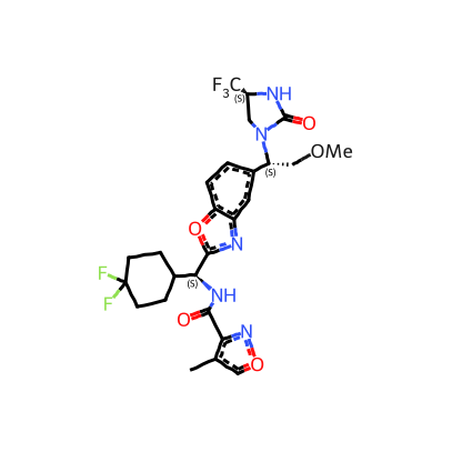 COC[C@H](c1ccc2oc([C@@H](NC(=O)c3nocc3C)C3CCC(F)(F)CC3)nc2c1)N1C[C@@H](C(F)(F)F)NC1=O